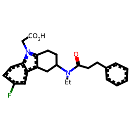 CCN(C(=O)CCc1ccccc1)C1CCc2c(c3cc(F)ccc3n2CC(=O)O)C1